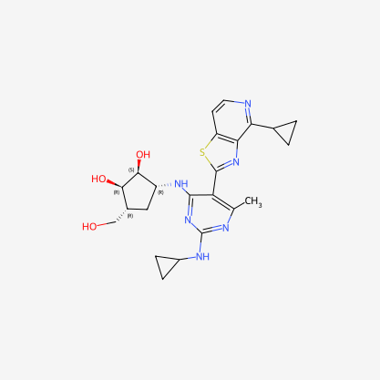 Cc1nc(NC2CC2)nc(N[C@@H]2C[C@H](CO)[C@@H](O)[C@H]2O)c1-c1nc2c(C3CC3)nccc2s1